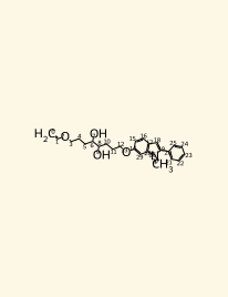 C=COCCCC(O)C(O)CCCOc1ccc2cc(-c3ccccc3)n(C)c2c1